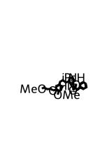 COCCCOc1cc(C[C@@H](CC2CNCC2NS(=O)(=O)Cc2ccccc2)C(C)C)ccc1OC